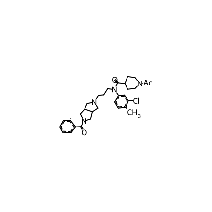 CC(=O)N1CCC(C(=O)N(CCCN2CC3CN(C(=O)c4[c]cccc4)CC3C2)c2ccc(C)c(Cl)c2)CC1